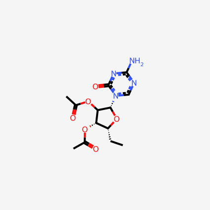 CC[C@H]1O[C@@H](n2cnc(N)nc2=O)C(OC(C)=O)[C@H]1OC(C)=O